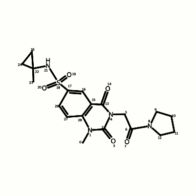 Cn1c(=O)n(CC(=O)N2CCCC2)c(=O)c2cc(S(=O)(=O)NC3(C)CC3)ccc21